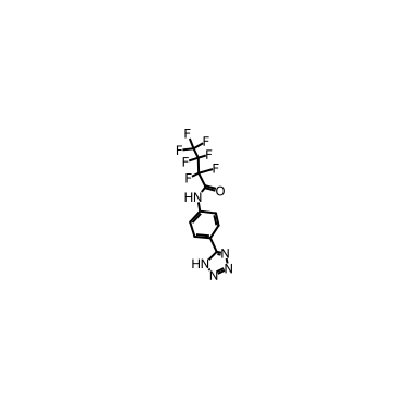 O=C(Nc1ccc(-c2nnn[nH]2)cc1)C(F)(F)C(F)(F)C(F)(F)F